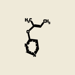 CC=C(C)Oc1ccn[c]n1